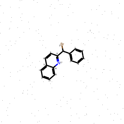 BrC(c1ccccc1)c1ccc2ccccc2n1